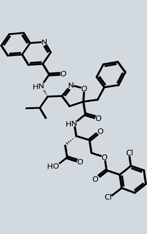 CC(C)[C@H](NC(=O)c1cnc2ccccc2c1)C1=NOC(Cc2ccccc2)(C(=O)N[C@@H](CC(=O)O)C(=O)COC(=O)c2c(Cl)cccc2Cl)C1